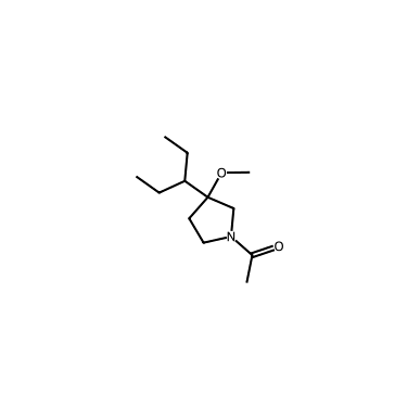 CCC(CC)C1(OC)CCN(C(C)=O)C1